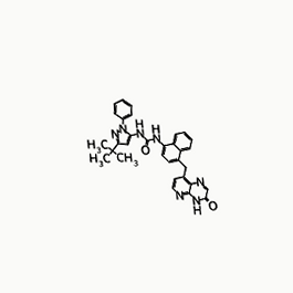 CC(C)(C)c1cc(NC(=O)Nc2ccc(Cc3ccnc4[nH]c(=O)cnc34)c3ccccc23)n(-c2ccccc2)n1